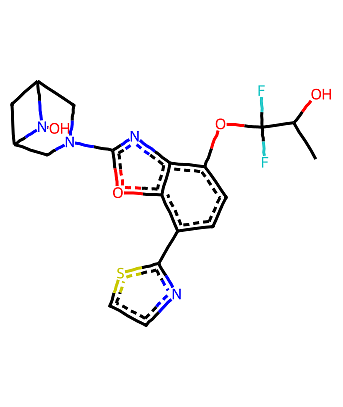 CC(O)C(F)(F)Oc1ccc(-c2nccs2)c2oc(N3CC4CC(C3)N4O)nc12